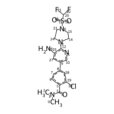 CN(C)C(=O)c1ccc(-c2cnc(N3CCN(S(=O)(=O)C(F)F)CC3)c(N)c2)cc1Cl